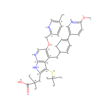 COc1ccc(C2=CCC(Cc3c(OCc4ccc(C)cn4)cnc4[nH]c(CC(C)(C)C(=O)O)c(SC(C)(C)C)c34)C=C2)cn1